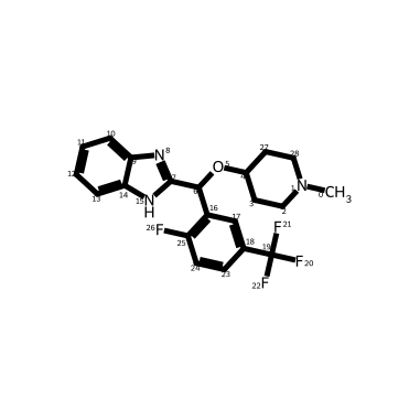 CN1CCC(OC(c2nc3ccccc3[nH]2)c2cc(C(F)(F)F)ccc2F)CC1